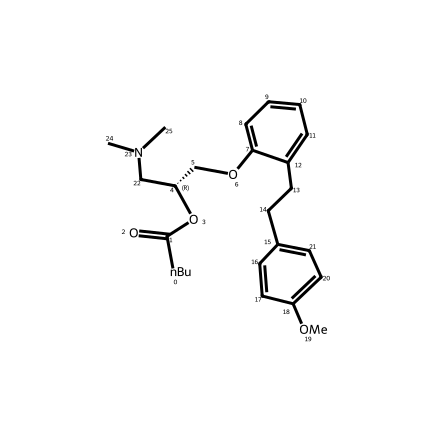 CCCCC(=O)O[C@@H](COc1ccccc1CCc1ccc(OC)cc1)CN(C)C